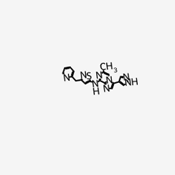 Cc1cn2c(-c3cn[nH]c3)cnc2c(Nc2cc(Cc3ccccn3)ns2)n1